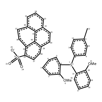 COc1ccccc1[S+](c1ccc(C)cc1)c1ccccc1OC.O=S(=O)([O-])c1ccc2ccc3cccc4ccc1c2c34